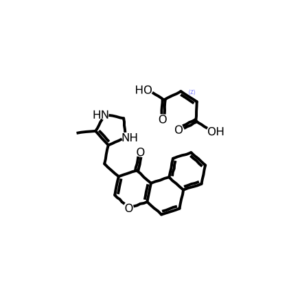 CC1=C(Cc2coc3ccc4ccccc4c3c2=O)NCN1.O=C(O)/C=C\C(=O)O